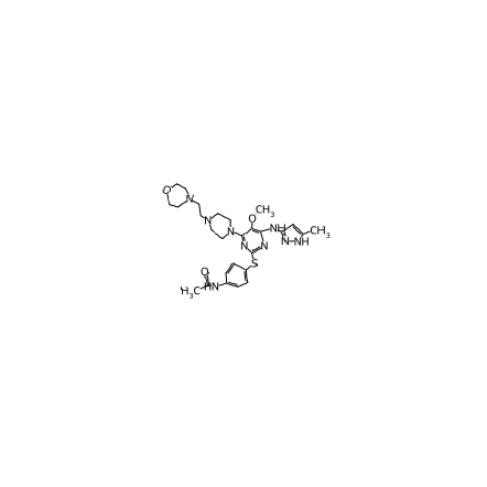 COc1c(Nc2cc(C)[nH]n2)nc(Sc2ccc(NC(C)=O)cc2)nc1N1CCN(CCN2CCOCC2)CC1